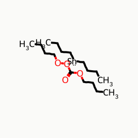 CCCCOOC(=O)OCCCC.CCC[CH2][Sn][CH2]CCC